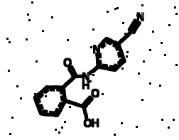 N#Cc1ccc(NC(=O)c2ccccc2C(=O)O)nc1